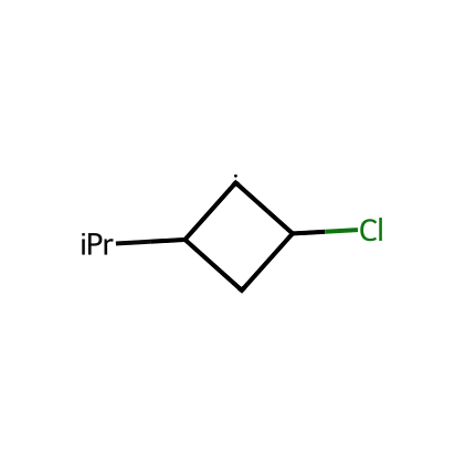 CC(C)C1[CH]C(Cl)C1